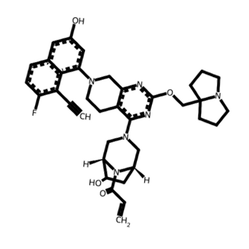 C#Cc1c(F)ccc2cc(O)cc(N3CCc4c(nc(OCC56CCCN5CCC6)nc4N4C[C@@H]5CC(O)[C@H](C4)N5C(=O)C=C)C3)c12